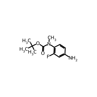 CN(C(=O)OC(C)(C)C)c1ccc(N)cc1F